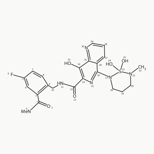 CNC(=O)c1cc(F)ccc1CNC(=O)c1nc(N2CCCN(C)S2(O)O)c2cccnc2c1O